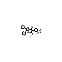 O=c1c(-c2ccc3c(c2)OCCO3)c(CCl)[nH]c2c(-c3ccccc3)c(-c3ccccc3)nn12